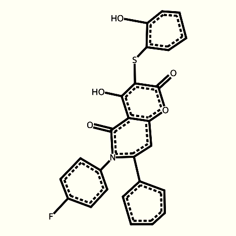 O=c1oc2cc(-c3ccccc3)n(-c3ccc(F)cc3)c(=O)c2c(O)c1Sc1ccccc1O